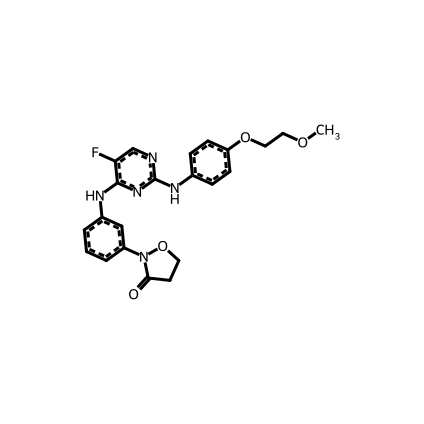 COCCOc1ccc(Nc2ncc(F)c(Nc3cccc(N4OCCC4=O)c3)n2)cc1